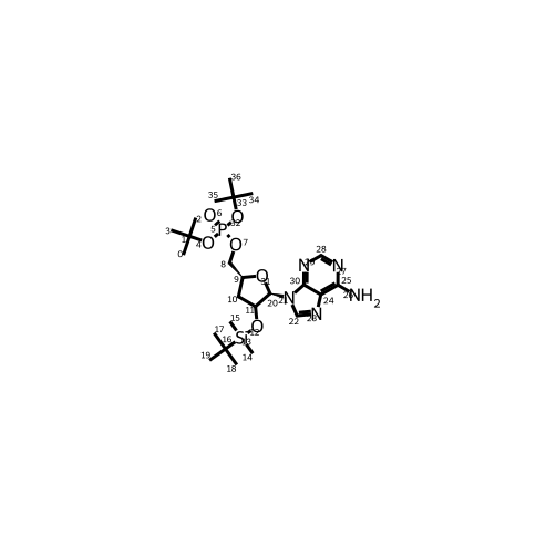 CC(C)(C)OP(=O)(OC[C@@H]1CC(O[Si](C)(C)C(C)(C)C)[C@H](n2cnc3c(N)ncnc32)O1)OC(C)(C)C